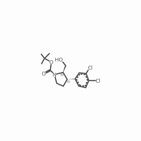 CC(C)(C)OC(=O)N1CC[C@@H](c2ccc(Cl)c(Cl)c2)[C@@H]1CO